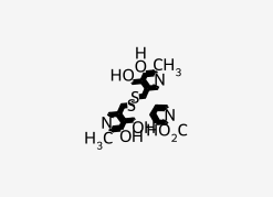 Cc1ncc(CSSCc2cnc(C)c(O)c2CO)c(CO)c1O.O=C(O)c1cccnc1